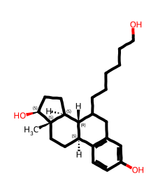 C[C@]12CC[C@@H]3c4ccc(O)cc4CC(CCCCCCO)[C@H]3[C@@H]1CC[C@@H]2O